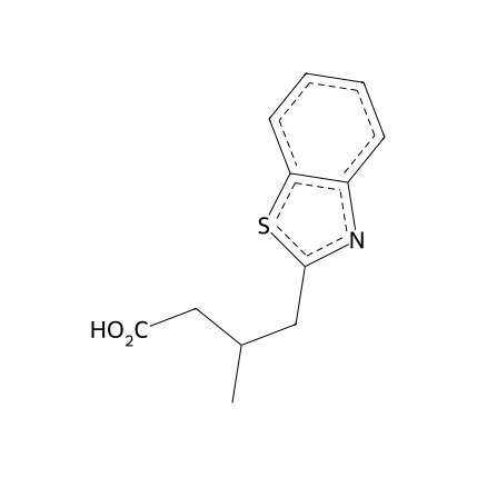 CC(CC(=O)O)Cc1nc2ccccc2s1